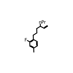 C=CC(CCC)CCCc1ccc(C)cc1F